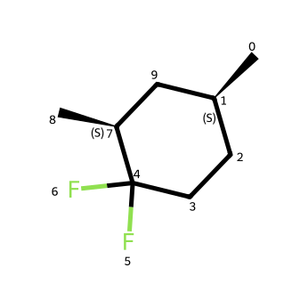 C[C@H]1CCC(F)(F)[C@@H](C)C1